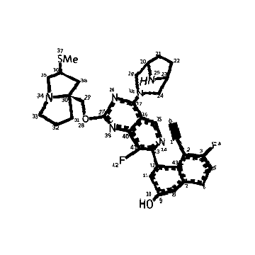 C#Cc1c(F)ccc2cc(O)cc(-c3ncc4c(N5CC6CCC(C5)N6)nc(OC[C@@]56CCCN5CC(SC)C6)nc4c3F)c12